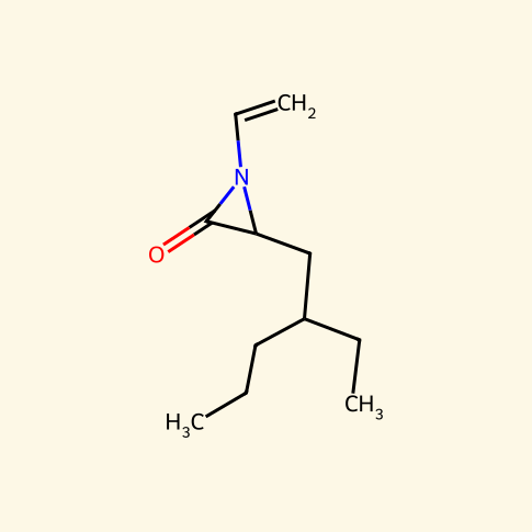 C=CN1C(=O)C1CC(CC)CCC